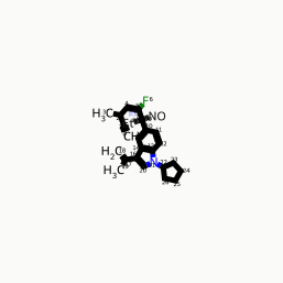 C#CC(C)/C=C(/F)C(CC)(N=O)c1ccc2c(c1)c(C(=C)C)cn2C1CCCC1